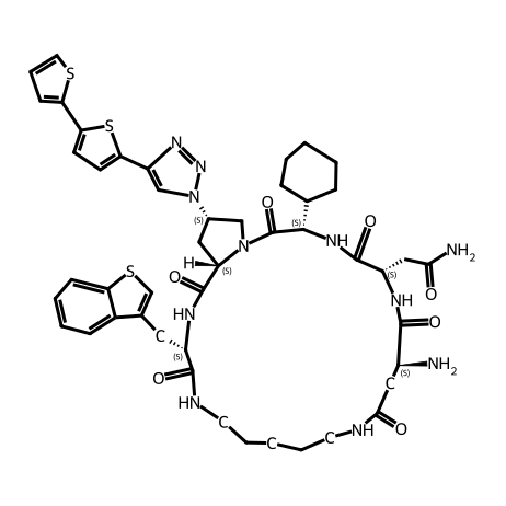 NC(=O)C[C@@H]1NC(=O)[C@@H](N)CC(=O)NCCCCCNC(=O)[C@H](Cc2csc3ccccc23)NC(=O)[C@@H]2C[C@H](n3cc(-c4ccc(-c5cccs5)s4)nn3)CN2C(=O)[C@H](C2CCCCC2)NC1=O